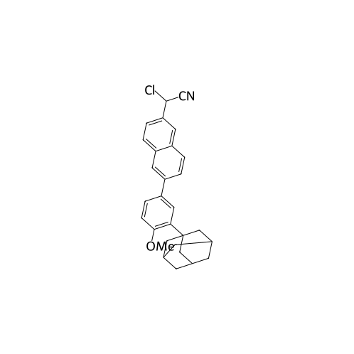 COc1ccc(-c2ccc3cc(C(Cl)C#N)ccc3c2)cc1C12CC3CC(CC(C3)C1)C2